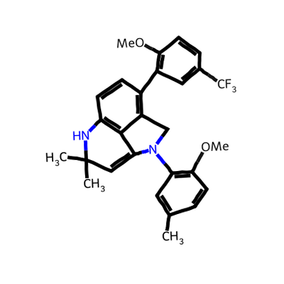 COc1ccc(C(F)(F)F)cc1-c1ccc2c3c1CN(c1cc(C)ccc1OC)C3=CC(C)(C)N2